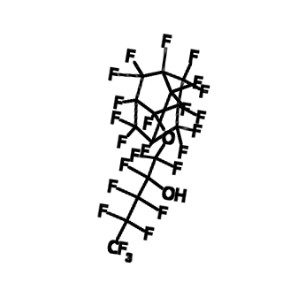 OC(F)(C(F)(F)OC1(F)C2(F)C(F)(F)C3(F)C(F)(F)C(F)(C2(F)F)C(F)(F)C1(F)C3(F)F)C(F)(F)C(F)(F)C(F)(F)F